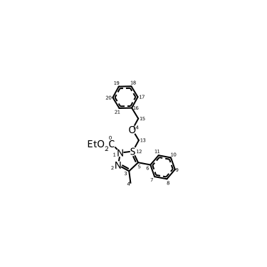 CCOC(=O)N1N=C(C)C(c2ccccc2)=S1COCc1ccccc1